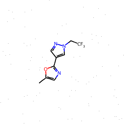 Cc1cnc(-c2cnn(CC(F)(F)F)c2)o1